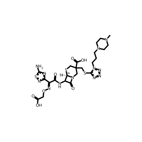 CN1CCN(CCCn2nnnc2SCC2(C(=O)O)CS[C@@H]3C(NC(=O)C(=NOCC(=O)O)c4nsc(N)n4)C(=O)N3C2)CC1